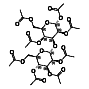 CC(=O)OC[C@H]1O[C@H](OC(C)=O)[C@@H](OC(C)=O)[C@@H](O[C@H]2O[C@H](COC(C)=O)[C@@H](OC(C)=O)[C@H](OC(C)=O)[C@@H]2OC(C)=O)[C@H]1OC(C)=O